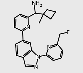 CC1(C(N)c2cccc(-c3ccc4cnn(-c5cccc(CF)n5)c4c3)n2)CCC1